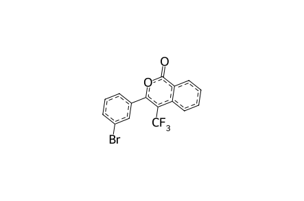 O=c1oc(-c2cccc(Br)c2)c(C(F)(F)F)c2ccccc12